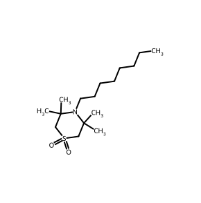 CCCCCCCCN1C(C)(C)CS(=O)(=O)CC1(C)C